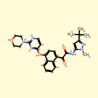 Cn1nc(C(C)(C)C)cc1NC(=O)C(=O)c1ccc(Oc2ccnc(N3CCOCC3)n2)c2ccccc12